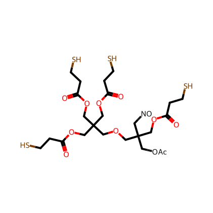 CC(=O)OCC(CN=O)(COCC(COC(=O)CCS)(COC(=O)CCS)COC(=O)CCS)COC(=O)CCS